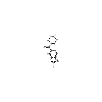 Cc1nc2ccc(C(=O)N3CCOCC3)cc2s1